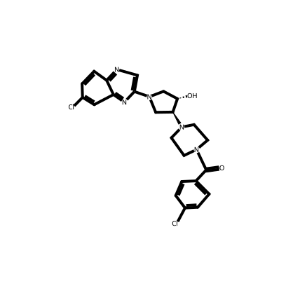 O=C(c1ccc(Cl)cc1)N1CCN([C@H]2CN(c3cnc4ccc(Cl)cc4n3)C[C@@H]2O)CC1